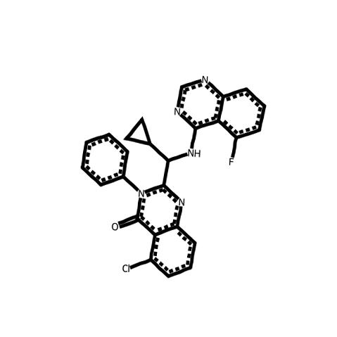 O=c1c2c(Cl)cccc2nc(C(Nc2ncnc3cccc(F)c23)C2CC2)n1-c1ccccc1